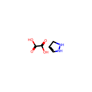 C1=CNNC1.O=C(O)C(=O)O